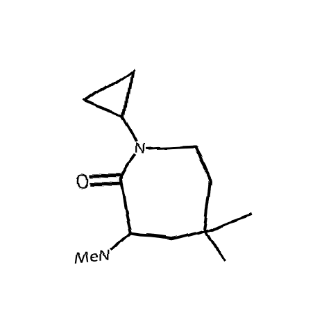 CNC1CC(C)(C)CCN(C2CC2)C1=O